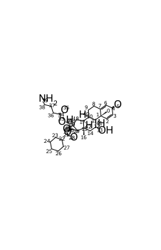 C[C@]12C=CC(=O)C=C1CC[C@@H]1[C@@H]2[C@@H](O)C[C@@]2(C)[C@H]1C[C@H]1O[C@@H](C3CCCCC3)O[C@]12C(=O)COC(=O)CCCN